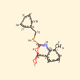 Cc1cccc2c(=O)oc(SCc3ccccc3)nc12